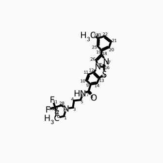 CCN(CCCNC(=O)c1ccc2c(c1)sc1nc(-c3cccc(C)c3)cn12)CC(F)(F)F